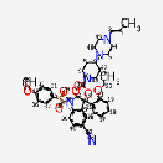 CCCN1CCN(C2CCN(C(=O)OC3(c4ccccc4OCC)C(=O)N(S(=O)(=O)c4ccc(OC)cc4)c4ccc(C#N)cc43)CC2)CC1